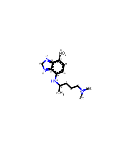 CCN(CC)CCCC(C)Nc1ccc([N+](=O)[O-])c2c1=NCN=2